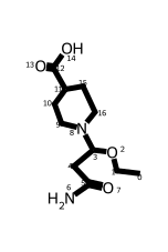 CCOC(CC(N)=O)N1CCC(C(=O)O)CC1